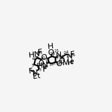 CCN(F)CC1CC[C@H](NF)C(OC2C(NF)CC(OC)C(N(C)C(=O)CNF)C2O)O1